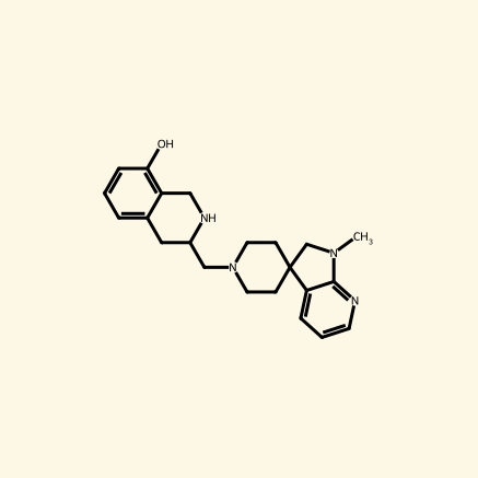 CN1CC2(CCN(CC3Cc4cccc(O)c4CN3)CC2)c2cccnc21